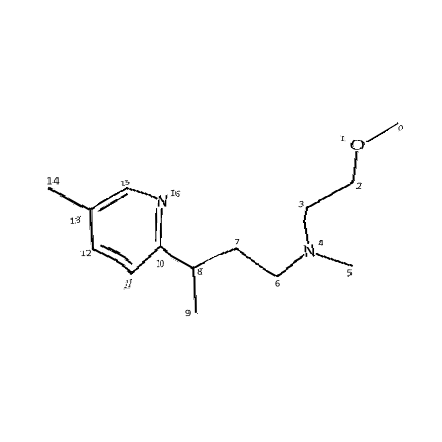 COCCN(C)CCC(C)c1ccc(C)cn1